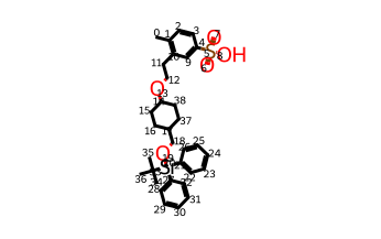 Cc1ccc(S(=O)(=O)O)cc1CCOC1CCC(CO[Si](c2ccccc2)(c2ccccc2)C(C)(C)C)CC1